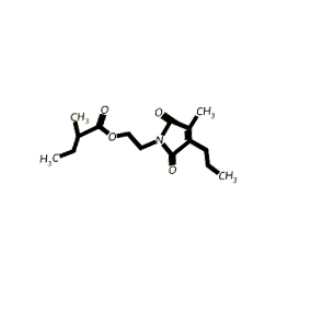 CCCC1=C(C)C(=O)N(CCOC(=O)C(C)CC)C1=O